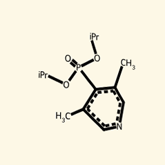 Cc1cncc(C)c1P(=O)(OC(C)C)OC(C)C